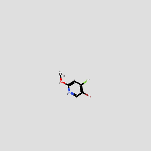 COc1cc(F)c(Br)cn1